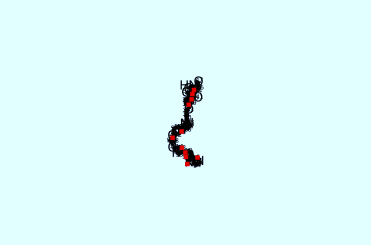 Cn1c2ccncc2c2ccc(-c3ccc(O[C@H]4C[C@H](OC5CCN(c6ccnc(C#CCOc7ccc8c(c7)C(=O)N(C7CCC(=O)NC7=O)C8=O)n6)CC5)C4)nc3)cc21